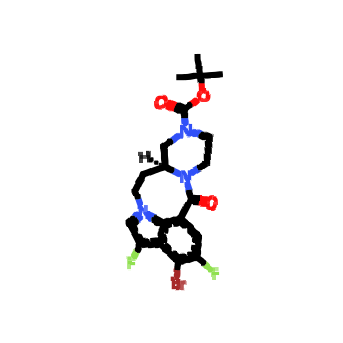 CC(C)(C)OC(=O)N1CCN2C(=O)c3cc(F)c(Br)c4c(F)cn(c34)CC[C@H]2C1